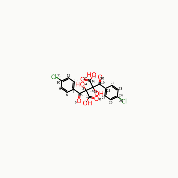 O=C(O)C(O)(C(=O)c1ccc(Cl)cc1)C(O)(C(=O)O)C(=O)c1ccc(Cl)cc1